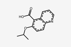 CC(C)Oc1ccc2ncccc2c1C(=O)O